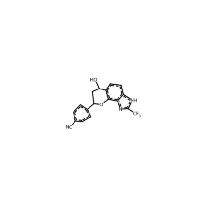 N#Cc1ccc(C2CC(O)c3ccc4[nH]c(C(F)(F)F)nc4c3O2)cc1